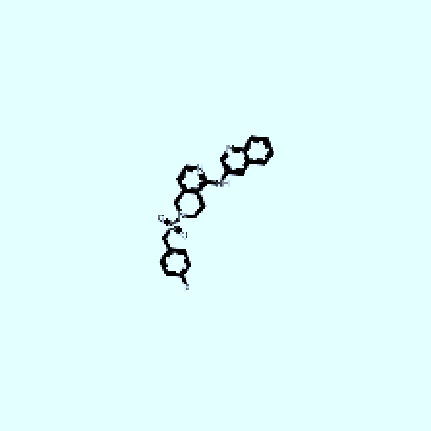 O=S(=O)(Cc1ccc(F)cc1)N1CCc2c(ccnc2Nc2cnc3ccccc3c2)C1